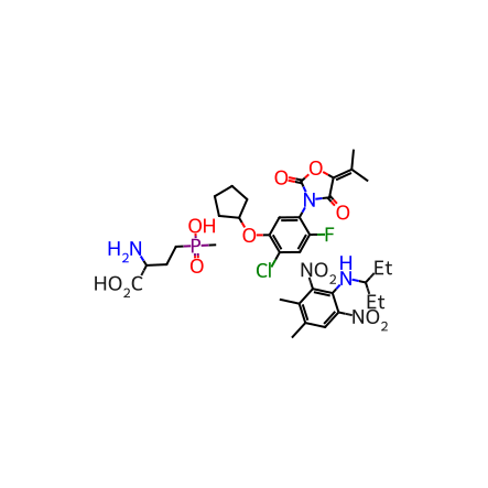 CC(C)=C1OC(=O)N(c2cc(OC3CCCC3)c(Cl)cc2F)C1=O.CCC(CC)Nc1c([N+](=O)[O-])cc(C)c(C)c1[N+](=O)[O-].CP(=O)(O)CCC(N)C(=O)O